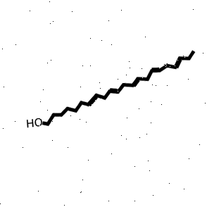 CCC=CCC=CCC=CCC=CCC=CCCCCCCO